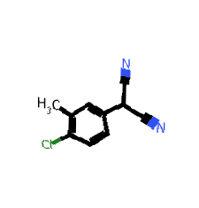 Cc1cc(C(C#N)C#N)ccc1Cl